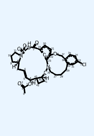 CC(=O)O[C@H]1/C=C/C[C@@H]2CCCN2S(=O)(=O)NC(=O)c2ccc3c(c2)N(CCCCc2cc(Cl)ccc2CO3)C[C@@H]2CC[C@H]21